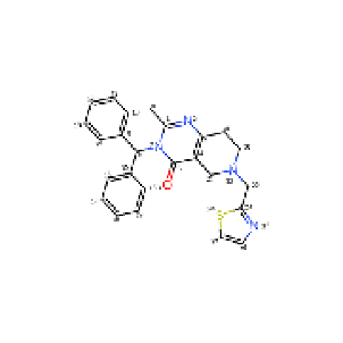 Cc1nc2c(c(=O)n1C(c1ccccc1)c1ccccc1)CN(Cc1nccs1)CC2